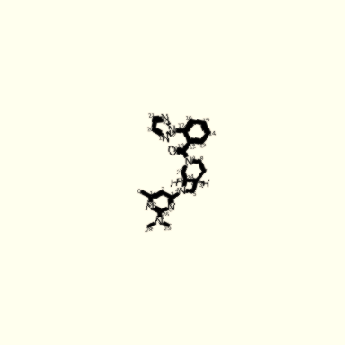 Cc1cc(N2C[C@@H]3CCN(C(=O)c4ccccc4-n4nccn4)C[C@@H]32)nc(N(C)C)n1